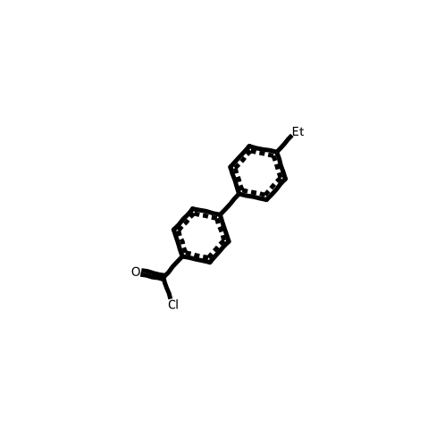 CCc1ccc(-c2ccc(C(=O)Cl)cc2)cc1